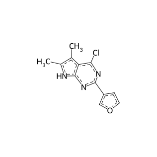 Cc1[nH]c2nc(-c3ccoc3)nc(Cl)c2c1C